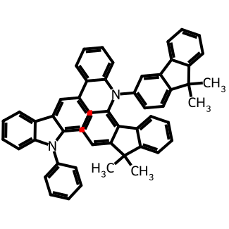 CC1(C)c2ccccc2-c2cc(N(c3ccccc3-c3ccc4c(c3)c3ccccc3n4-c3ccccc3)c3cccc4c3-c3ccccc3C4(C)C)ccc21